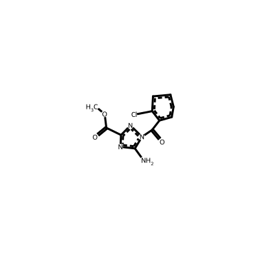 COC(=O)c1nc(N)n(C(=O)c2ccccc2Cl)n1